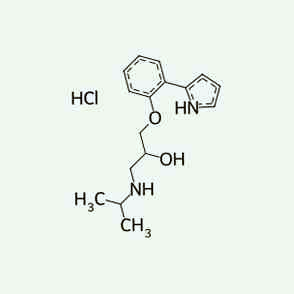 CC(C)NCC(O)COc1ccccc1-c1ccc[nH]1.Cl